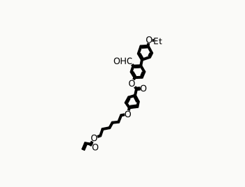 C=CC(=O)OCCCCCCOc1ccc(C(=O)Oc2ccc(-c3ccc(OCC)cc3)c(C=O)c2)cc1